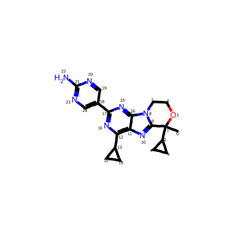 CC1(C2CC2)OCCn2c1nc1c(C3CC3)nc(-c3cnc(N)nc3)nc12